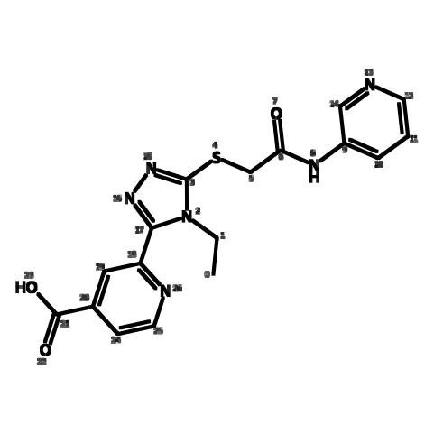 CCn1c(SCC(=O)Nc2cccnc2)nnc1-c1cc(C(=O)O)ccn1